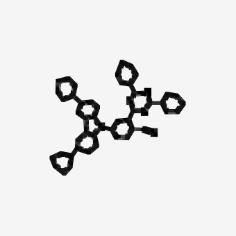 N#Cc1ccc(-n2c3ccc(-c4ccccc4)cc3c3cc(-c4ccccc4)ccc32)cc1-c1nc(-c2ccccc2)nc(-c2ccccc2)n1